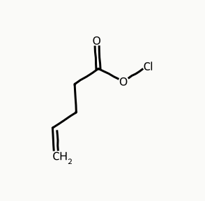 C=CCCC(=O)OCl